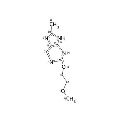 COCCOc1ncc2nc(C)[nH]c2n1